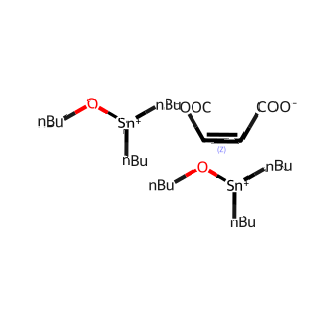 CCCC[O][Sn+]([CH2]CCC)[CH2]CCC.CCCC[O][Sn+]([CH2]CCC)[CH2]CCC.O=C([O-])/C=C\C(=O)[O-]